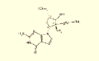 CC#C[C@@]1(N)C(O)[C@@H](CO)O[C@H]1n1ccc2c(=O)[nH]c(N)nc21